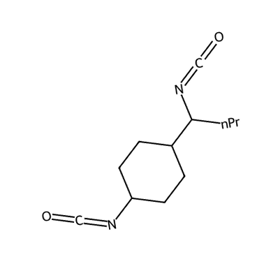 CCCC(N=C=O)C1CCC(N=C=O)CC1